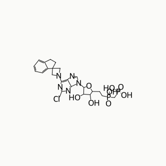 O=P(O)(O)CP(=O)(O)CCC1OC(n2cnc3c(N4CC5(CCc6ccccc65)C4)nc(Cl)nc32)C(O)C1O